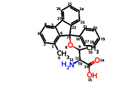 Cc1cccc2c1C(OC(C)[C@H](N)C(=O)O)(c1ccccc1)c1ccccc1-2